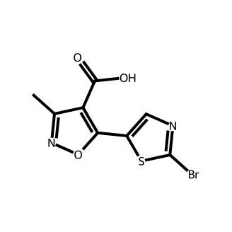 Cc1noc(-c2cnc(Br)s2)c1C(=O)O